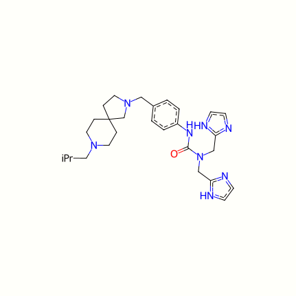 CC(C)CN1CCC2(CC1)CCN(Cc1ccc(NC(=O)N(Cc3ncc[nH]3)Cc3ncc[nH]3)cc1)C2